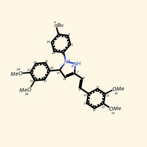 CCCCc1ccc(N2NC(C=Cc3ccc(OC)c(OC)c3)=CC2c2ccc(OC)c(OC)c2)cc1